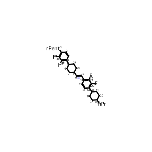 CCCCCc1ccc(C2CCC(/C=C/c3ccc(C4CCC(CCC)CC4)c(F)c3F)CC2)c(F)c1F